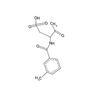 CC(=O)C(CS(=O)(=O)O)NC(=O)c1cccc(C)c1